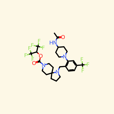 CC(=O)NC1CCN(c2cc(C(F)(F)F)ccc2CN2CCCC23CCN(C(=O)OC(C(F)(F)F)C(F)(F)F)CC3)CC1